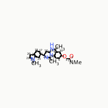 CNC(=O)COc1cccc(C(C)Nc2cc(-c3ccc4ccn(C)c4c3)nc(C)n2)c1